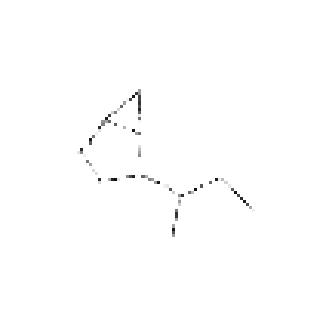 CCC(C)C1CCC2CC21